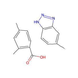 Cc1ccc(C(=O)O)c(C)c1.Cc1ccc2[nH]nnc2c1